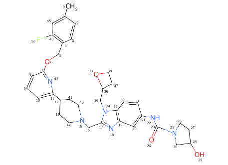 Cc1ccc(COc2cccc(C3CCN(Cc4nc5cc(NC(=O)N6CCC(O)C6)ccc5n4CC4CCO4)CC3)n2)c(F)c1